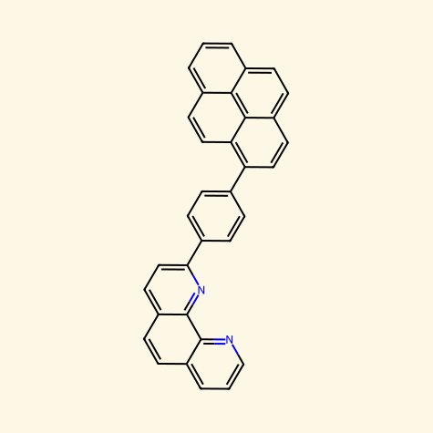 c1cnc2c(c1)ccc1ccc(-c3ccc(-c4ccc5ccc6cccc7ccc4c5c67)cc3)nc12